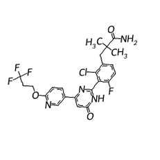 CC(C)(Cc1ccc(F)c(-c2nc(-c3ccc(OCCC(F)(F)F)nc3)cc(=O)[nH]2)c1Cl)C(N)=O